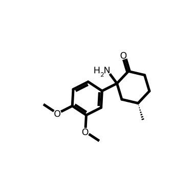 COc1ccc(C2(N)C[C@@H](C)CCC2=O)cc1OC